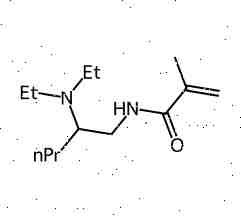 C=C(C)C(=O)NCC(CCC)N(CC)CC